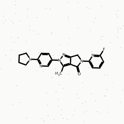 Cc1c2c(nn1-c1ccc(N3CCCC3)nc1)CN(c1cccc(F)n1)C2=O